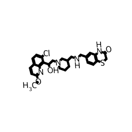 COc1ccc2ccc(Cl)c(C(O)CN3CCCC(CNCc4ccc5c(c4)NC(=O)CS5)C3)c2n1